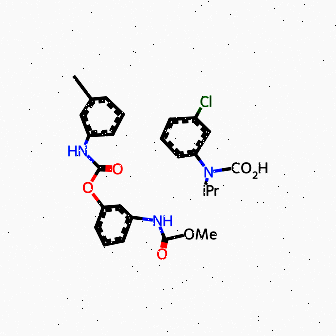 CC(C)N(C(=O)O)c1cccc(Cl)c1.COC(=O)Nc1cccc(OC(=O)Nc2cccc(C)c2)c1